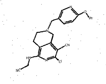 CC(C)Oc1ccc(CN2CCc3c(NCC#N)nc(Cl)c(C#N)c3C2)cn1